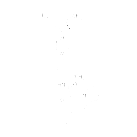 Cc1cc(C)nc(N2CCN(c3ccc(NC(=O)C(=O)c4c(C5CCCC5)cc5ccccn45)c(C)c3)CC2)c1